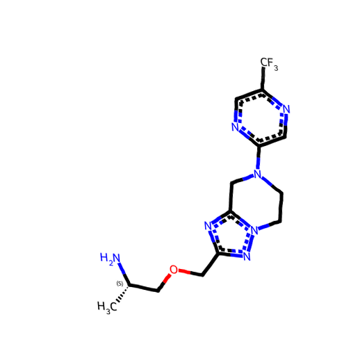 C[C@H](N)COCc1nc2n(n1)CCN(c1cnc(C(F)(F)F)cn1)C2